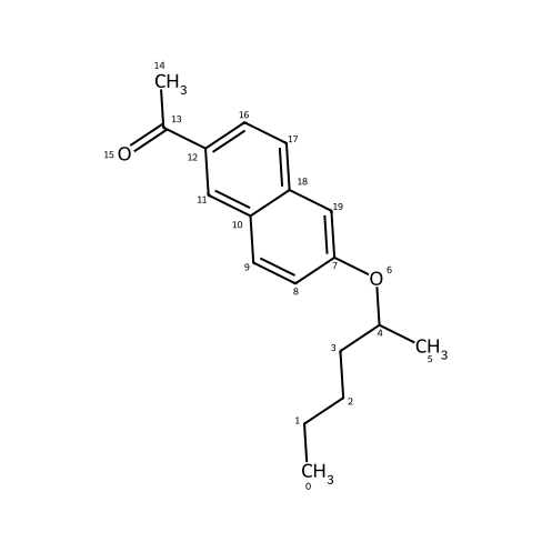 CCCCC(C)Oc1ccc2cc(C(C)=O)ccc2c1